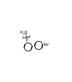 C1=CCCC=CCC1.C1=CCCC=CCC1.F[B-](F)(F)F.O.[Rh+]